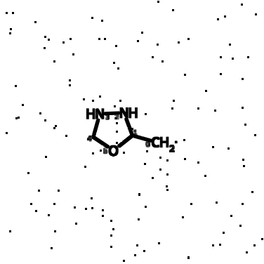 [CH2]C1NNCO1